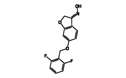 ON=C1COc2cc(OCc3c(F)cccc3F)ccc21